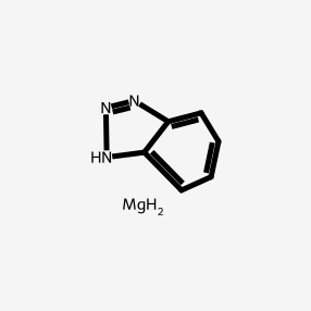 [MgH2].c1ccc2[nH]nnc2c1